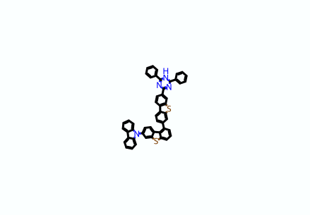 c1ccc(C2=NC(c3ccc4c(c3)sc3cc(-c5cccc6sc7cc(-n8c9ccccc9c9ccccc98)ccc7c56)ccc34)=NC(c3ccccc3)N2)cc1